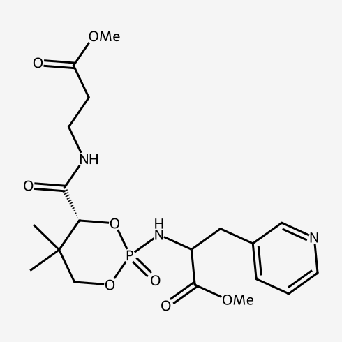 COC(=O)CCNC(=O)[C@@H]1OP(=O)(NC(Cc2cccnc2)C(=O)OC)OCC1(C)C